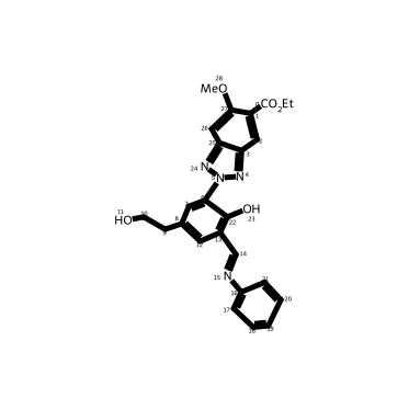 CCOC(=O)c1cc2nn(-c3cc(CCO)cc(C=Nc4ccccc4)c3O)nc2cc1OC